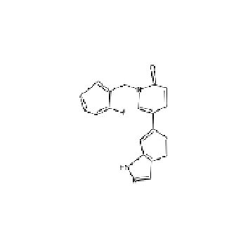 O=c1ccc(-c2ccc3cn[nH]c3c2)cn1Cc1ccccc1F